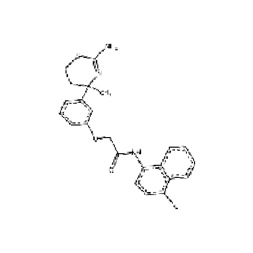 CC1(c2cccc(OCC(=O)Nc3ccc(Cl)c4ccccc34)c2)CCSC(N)=N1